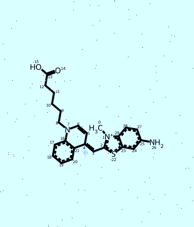 C[n+]1c(/C=C2\C=CN(CCCCCC(=O)O)c3ccccc32)sc2cc(N)ccc21